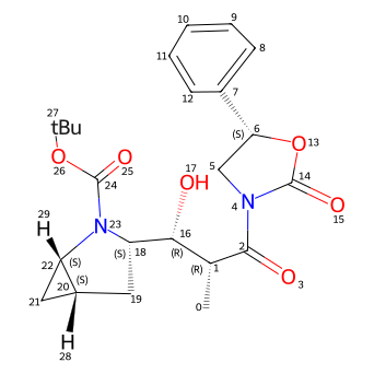 C[C@@H](C(=O)N1C[C@H](c2ccccc2)OC1=O)[C@@H](O)[C@@H]1C[C@@H]2C[C@@H]2N1C(=O)OC(C)(C)C